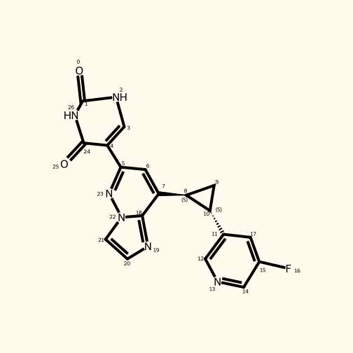 O=c1[nH]cc(-c2cc([C@H]3C[C@@H]3c3cncc(F)c3)c3nccn3n2)c(=O)[nH]1